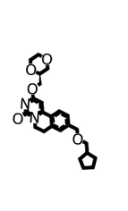 O=c1nc(OC[C@@H]2COCCO2)cc2n1CCc1cc(COCC3CCCC3)ccc1-2